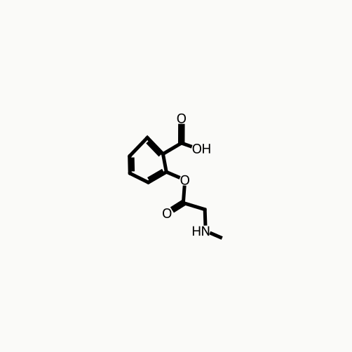 CNCC(=O)Oc1ccccc1C(=O)O